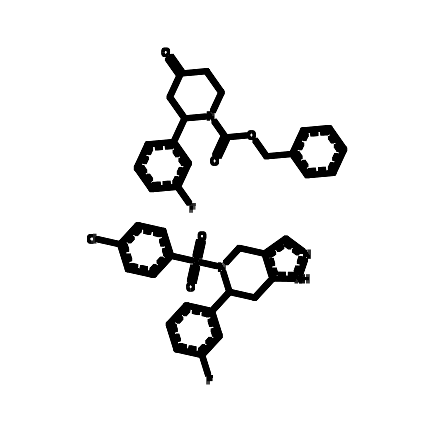 O=C1CCN(C(=O)OCc2ccccc2)C(c2cccc(F)c2)C1.O=S(=O)(c1ccc(Cl)cc1)N1Cc2cn[nH]c2CC1c1cccc(F)c1